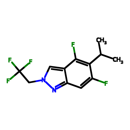 CC(C)c1c(F)cc2nn(CC(F)(F)F)cc2c1F